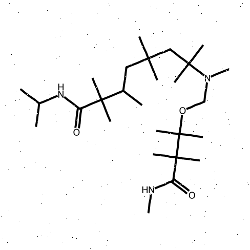 CNC(=O)C(C)(C)C(C)(C)OCN(C)C(C)(C)CC(C)(C)CC(C)C(C)(C)C(=O)NC(C)C